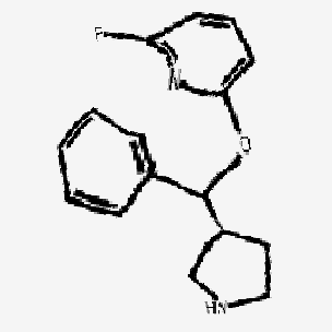 Fc1cccc(OC(c2ccccc2)[C@H]2CCNC2)n1